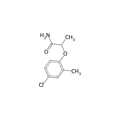 Cc1cc(Cl)ccc1OC(C)C(N)=O